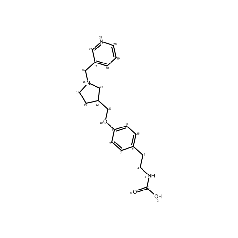 O=C(O)NCCc1ccc(OCC2CCN(Cc3cccnc3)C2)cc1